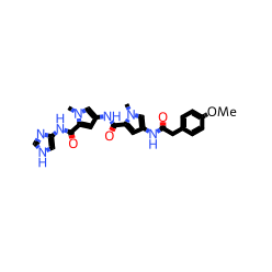 COc1ccc(CC(=O)Nc2cc(C(=O)Nc3cc(C(=O)Nc4c[nH]cn4)n(C)c3)n(C)c2)cc1